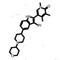 Cc1c(-c2[nH]c3ccc(C4CCN(C5CCOCC5)CC4)cc3c2C(C)C)cn(C)c(=O)c1C